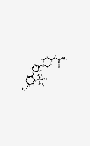 CP(C)(=O)c1cc(N)ccc1-c1cnc(C2CCC(OC(N)=O)CC2)s1